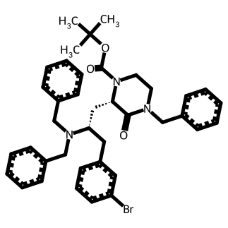 CC(C)(C)OC(=O)N1CCN(Cc2ccccc2)C(=O)[C@@H]1C[C@H](Cc1cccc(Br)c1)N(Cc1ccccc1)Cc1ccccc1